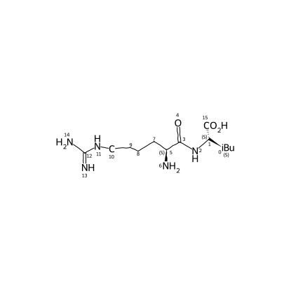 CC[C@H](C)[C@H](NC(=O)[C@@H](N)CCCCNC(=N)N)C(=O)O